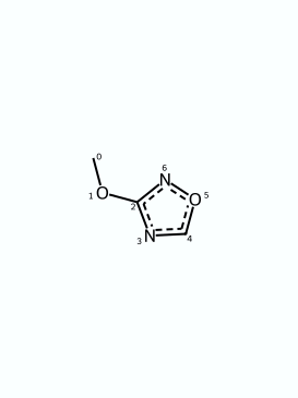 COc1ncon1